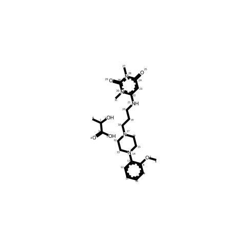 CC(O)C(=O)O.COc1ccccc1N1CCN(CCCNc2cc(=O)n(C)c(=O)n2C)CC1